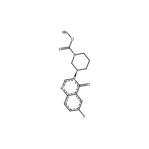 CC(C)(C)OC(=O)N1CCC[C@@H](n2cnc3ccc(F)cc3c2=O)C1